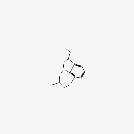 CC1COc2cccc3c2B(O1)OC3CN.Cl